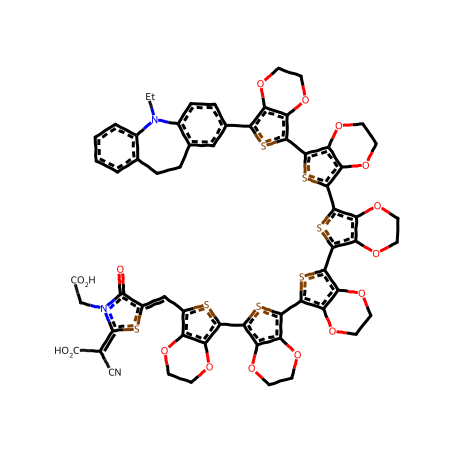 CCN1c2ccccc2CCc2cc(-c3sc(-c4sc(-c5sc(-c6sc(-c7sc(-c8sc(/C=c9\s/c(=C(\C#N)C(=O)O)n(CC(=O)O)c9=O)c9c8OCCO9)c8c7OCCO8)c7c6OCCO7)c6c5OCCO6)c5c4OCCO5)c4c3OCCO4)ccc21